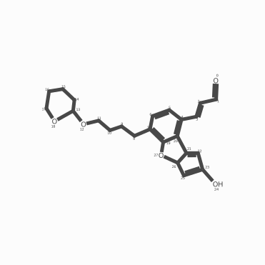 O=CC=Cc1ccc(CCCCOC2CCCCO2)c2c1C1=CC(O)=CC1O2